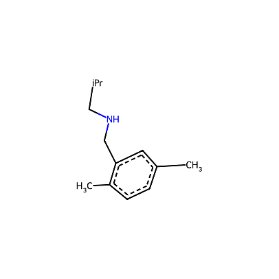 Cc1ccc(C)c(CNCC(C)C)c1